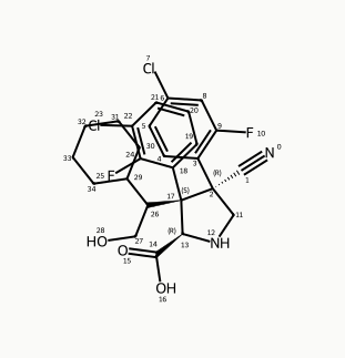 N#C[C@]1(c2ccc(Cl)cc2F)CN[C@@H](C(=O)O)[C@@]1(c1cccc(Cl)c1F)C(CO)C1CCCCC1